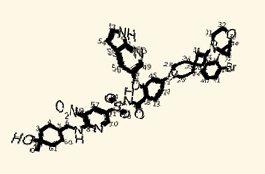 CC1(O)CCC(CNc2ncc(S(=O)(=O)NC(=O)c3ccc(N4CCC5(CC4)CC(N4CCOC6C[C@@]64c4ccccc4Br)C5)cc3Oc3cnc4[nH]ccc4c3)cc2[N+](=O)[O-])CC1